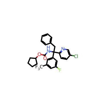 O=C(NC(Cc1ccccc1)(c1cc(F)cc(C(F)(F)F)c1)c1ccc(Cl)cn1)OC1CCCC1